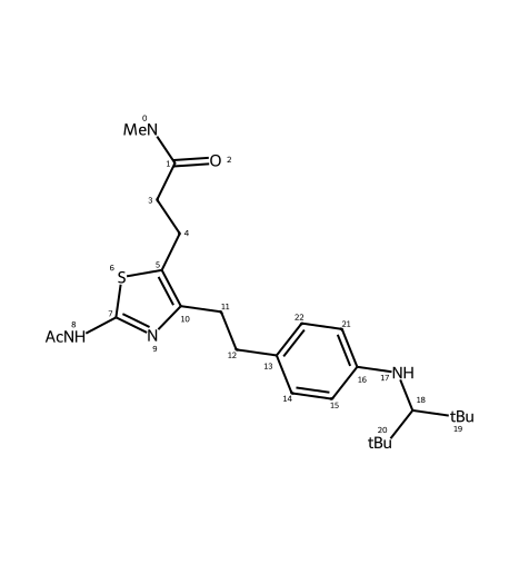 CNC(=O)CCc1sc(NC(C)=O)nc1CCc1ccc(NC(C(C)(C)C)C(C)(C)C)cc1